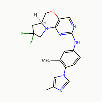 COc1cc(Nc2ncc3c(n2)N2CC(F)(F)C[C@H]2CO3)ccc1-n1cnc(C)c1